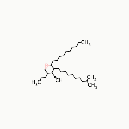 C#CC1C(CCC)C=BC(CCCCCCCCCC)C1CCCCCCCCC(=C)C